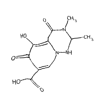 CC1Nn2cc(C(=O)O)c(=O)c(O)c2C(=O)N1C